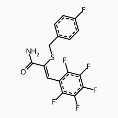 NC(=O)C(=Cc1c(F)c(F)c(F)c(F)c1F)SCc1ccc(F)cc1